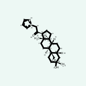 CC[C@]12CC[C@@](C)(O)C[C@H]1CC[C@H]1[C@@H]3CC[C@H](C(=O)Cn4cccn4)[C@@]3(C)CC[C@@H]12